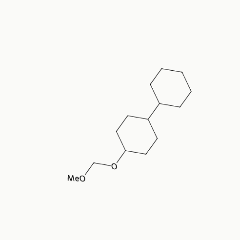 COCOC1CCC(C2CCCCC2)CC1